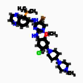 COc1cc(N2CCC(N3CCN(C)CC3)CC2)c(Cl)cc1Nc1ncc(Br)c(Nc2ccc3nccnc3c2P(C)C)n1